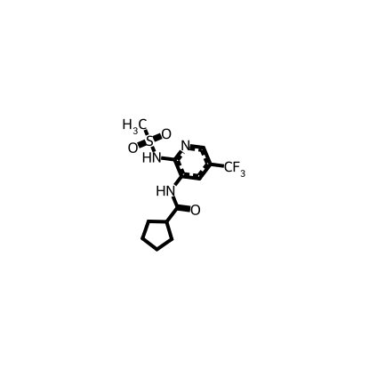 CS(=O)(=O)Nc1ncc(C(F)(F)F)cc1NC(=O)C1CCCC1